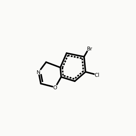 Clc1cc2c(cc1Br)CN=CO2